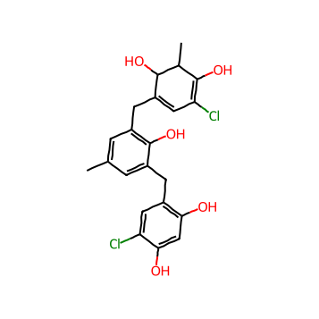 Cc1cc(CC2=CC(Cl)=C(O)C(C)C2O)c(O)c(Cc2cc(Cl)c(O)cc2O)c1